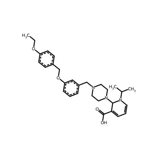 CCOc1ccc(COc2cccc(CN3CCN(C4C(C(=O)O)=CC=CN4C(C)C)CC3)c2)cc1